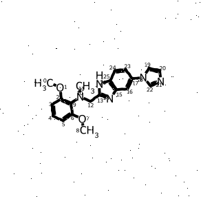 COc1cccc(OC)c1N(C)Cc1nc2cc(-n3ccnc3)ccc2[nH]1